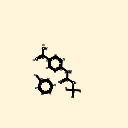 CC(C)(C)OC(=O)Nc1ccc(C(=O)O)cc1.Cc1ccccc1